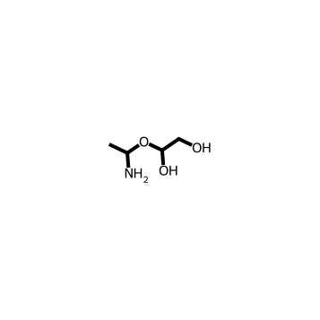 CC(N)OC(O)CO